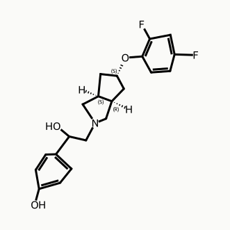 Oc1ccc(C(O)CN2C[C@H]3C[C@H](Oc4ccc(F)cc4F)C[C@H]3C2)cc1